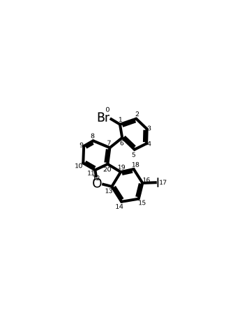 Brc1ccccc1-c1cccc2oc3ccc(I)cc3c12